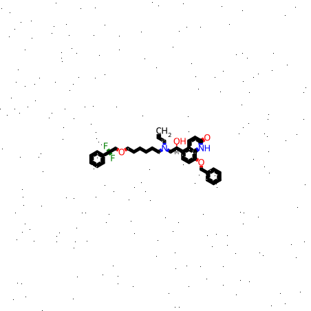 C=CCN(CCCCCCOCC(F)(F)c1ccccc1)C[C@H](O)c1ccc(OCc2ccccc2)c2[nH]c(=O)ccc12